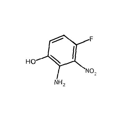 Nc1c(O)ccc(F)c1[N+](=O)[O-]